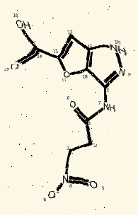 O=C(CC[N+](=O)[O-])Nc1n[nH]c2cc(C(=O)O)oc12